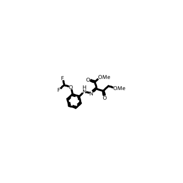 COCC(=O)C(=NNc1ccccc1OC(F)F)C(=O)OC